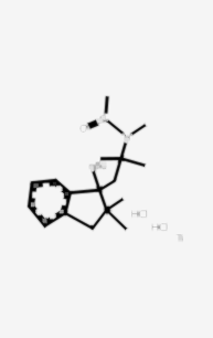 CCCCC1(CC(C)(C)N(C)[Si](C)=O)c2ccccc2CC1(C)C.Cl.Cl.[Ti]